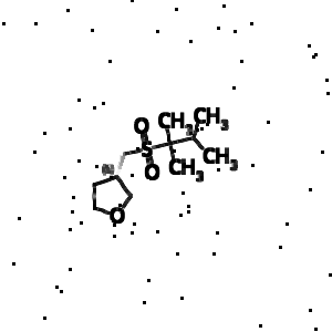 CC(C)C(C)(C)S(=O)(=O)C[C@H]1CCOC1